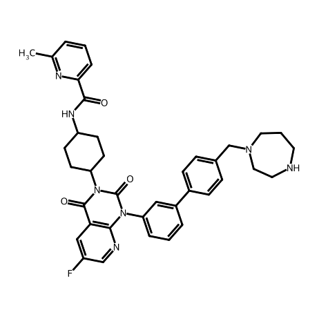 Cc1cccc(C(=O)NC2CCC(n3c(=O)c4cc(F)cnc4n(-c4cccc(-c5ccc(CN6CCCNCC6)cc5)c4)c3=O)CC2)n1